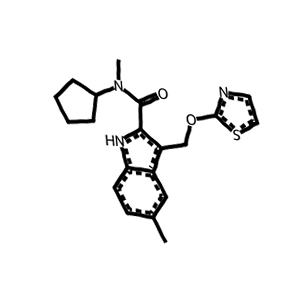 Cc1ccc2[nH]c(C(=O)N(C)C3CCCC3)c(COc3nccs3)c2c1